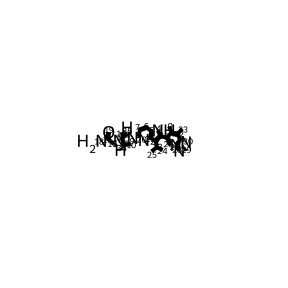 Cc1c(-c2[nH]c3ccc(N4C[C@H]5C[C@@H]4CN5CC(N)=O)nc3c2C(C)C)cn2ncnc2c1C